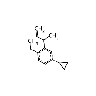 C=C[C](C)c1cc(C2CC2)ccc1CC